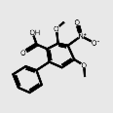 COc1cc(-c2ccccc2)c(C(=O)O)c(OC)c1[N+](=O)[O-]